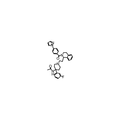 CC(=O)NC1(c2cccc(F)c2)CCN(CCC2c3ccccc3CCN2C(=O)c2ccc(-n3cccn3)cc2)CC1